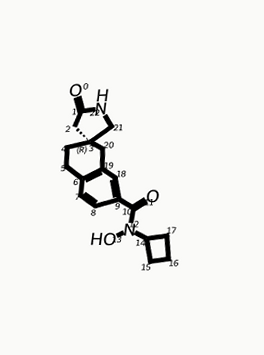 O=C1C[C@]2(CCc3ccc(C(=O)N(O)C4CCC4)cc3C2)CN1